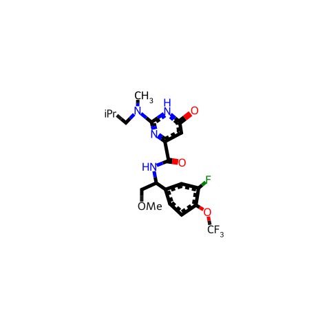 COCC(NC(=O)c1cc(=O)[nH]c(N(C)CC(C)C)n1)c1ccc(OC(F)(F)F)c(F)c1